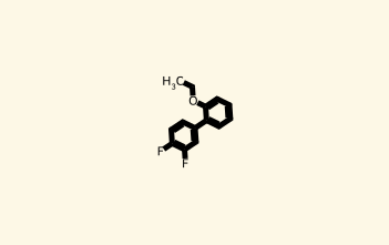 CCOc1ccccc1-c1ccc(F)c(F)c1